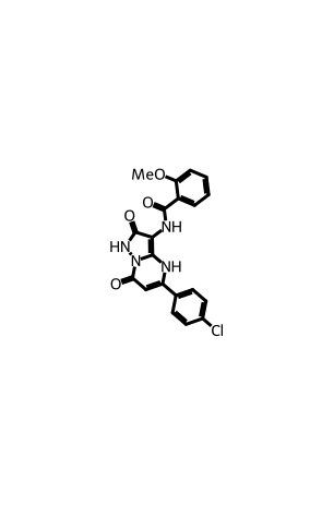 COc1ccccc1C(=O)Nc1c(=O)[nH]n2c(=O)cc(-c3ccc(Cl)cc3)[nH]c12